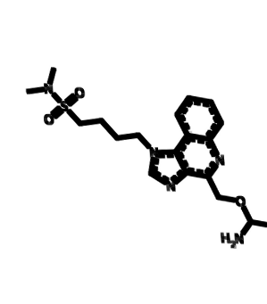 CC(N)OCc1nc2ccccc2c2c1ncn2CCCCS(=O)(=O)N(C)C